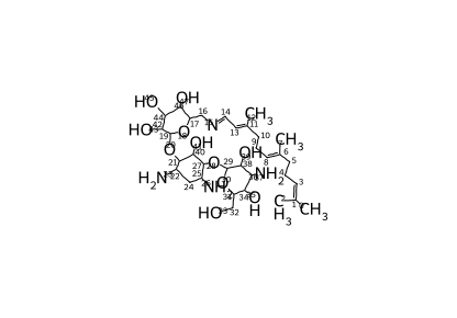 CC(C)=CCC/C(C)=C/CC/C(C)=C/C=N/CC1OC(OC2C(N)CC(N)C(OC3OC(CO)C(O)C(N)C3O)C2O)C(O)C(O)C1O